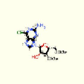 COC[C@H]1O[C@@H](n2cnc3c(Cl)nc(N)nc32)[C@H](O)[C@@H]1OC